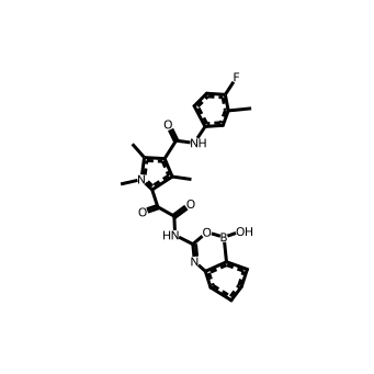 Cc1cc(NC(=O)c2c(C)c(C(=O)C(=O)NC3=Nc4ccccc4B(O)O3)n(C)c2C)ccc1F